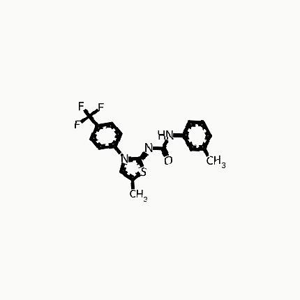 Cc1cccc(NC(=O)N=c2sc(C)cn2-c2ccc(C(F)(F)F)cc2)c1